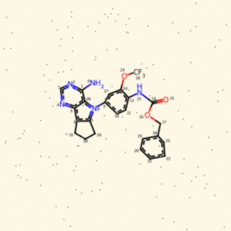 Nc1ncnc2c3c(n(-c4ccc(NC(=O)OCc5ccccc5)c(OC(F)(F)F)c4)c12)CCC3